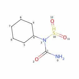 NC(=O)N(C1CCCCC1)[SH](=O)=O